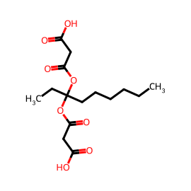 CCCCCCC(CC)(OC(=O)CC(=O)O)OC(=O)CC(=O)O